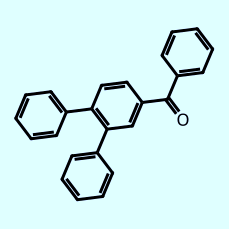 O=C(c1ccccc1)c1ccc(-c2ccccc2)c(-c2ccccc2)c1